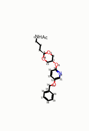 CC(=O)NCCC[C@H]1OC[C@@H](Oc2ccc(OCc3ccccc3)cn2)CO1